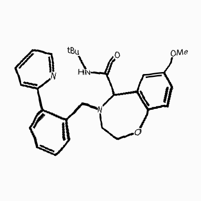 COc1ccc2c(c1)C(C(=O)NC(C)(C)C)N(Cc1ccccc1-c1ccccn1)CCO2